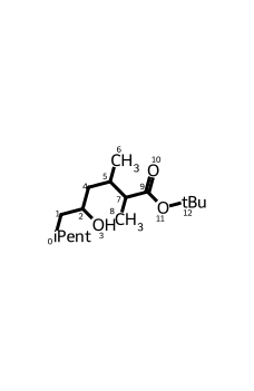 CCCC(C)CC(O)CC(C)C(C)C(=O)OC(C)(C)C